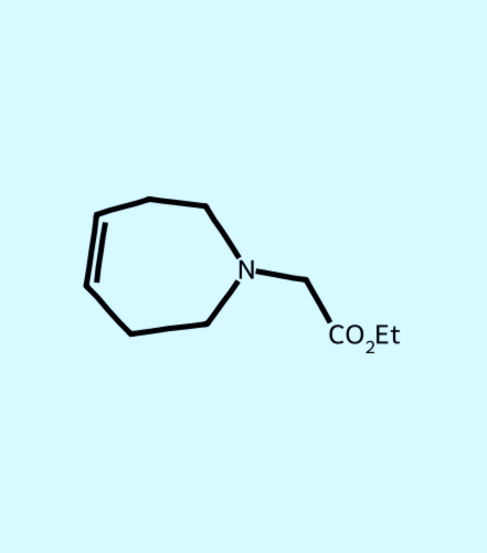 CCOC(=O)CN1CCC=CCC1